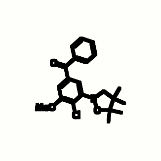 COc1cc(C(=O)c2ccccc2)cc(B2CC(C)(C)C(C)(C)O2)c1Cl